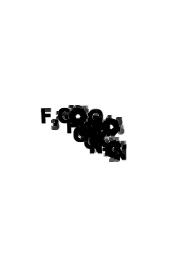 NC(=O)c1ccccc1-c1c(-c2ccncc2)noc1NC(=O)c1cccc(C(F)(F)F)c1